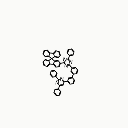 c1ccc(-c2cc(-c3cccc(-c4cccc(-c5nc(-c6ccccc6)nc(-c6ccc7c(c6)C6(c8ccccc8-c8ccccc86)c6ccccc6-7)n5)c4)c3)nc(-c3ccccc3)n2)cc1